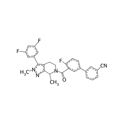 CC1c2nn(C)c(-c3cc(F)cc(F)c3)c2CCN1C(=O)c1cc(-c2cccc(C#N)c2)ccc1F